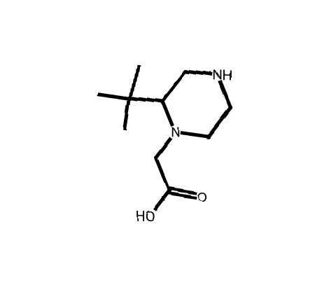 CC(C)(C)C1CNCCN1CC(=O)O